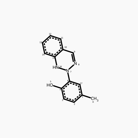 Cc1ccc(O)c(N2N=Cc3ccccc3N2)c1